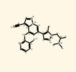 Cc1c(-c2cc(Sc3ncccc3F)c3c(C#N)cnn3c2)cnn1CC(C)N(C)C